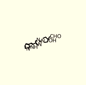 O=CCC1(O)CCN(c2ncc(-c3cc4cccnc4[nH]3)cn2)CC1